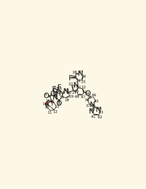 O=C(NC1(C(=O)O)C2CCC3CC(C2)CC1C3)c1ccc(-c2cn(-c3ccncc3F)c3cc(OC4CCN(c5ncccn5)CC4)ccc23)nc1C(F)(F)F